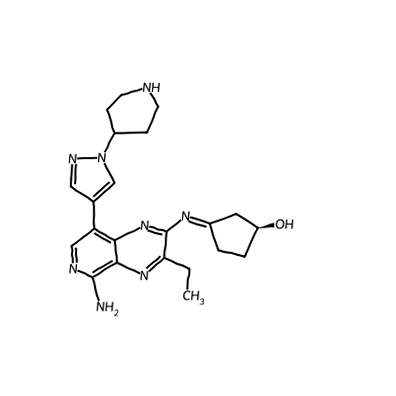 CCc1nc2c(N)ncc(-c3cnn(C4CCNCC4)c3)c2nc1/N=C1\CC[C@H](O)C1